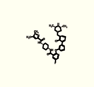 Cc1cc(C(=O)N[C@H]2CC[C@@H](NC(=O)c3cc(F)cnc3Oc3cccc(-c4cccc(CN5C[C@@H](C)N[C@@H](C)C5)c4Cl)c3)CC2)nn1C